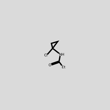 CCC(=O)NC1(Cl)CC1